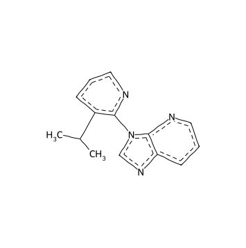 CC(C)c1cccnc1-n1cnc2cccnc21